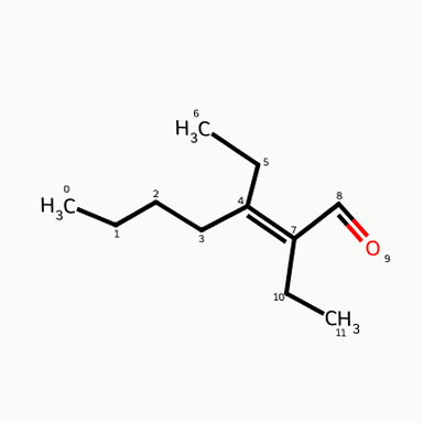 CCCC/C(CC)=C(/C=O)CC